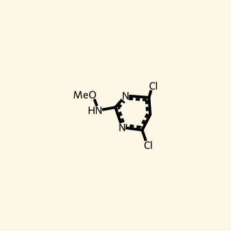 CONc1nc(Cl)cc(Cl)n1